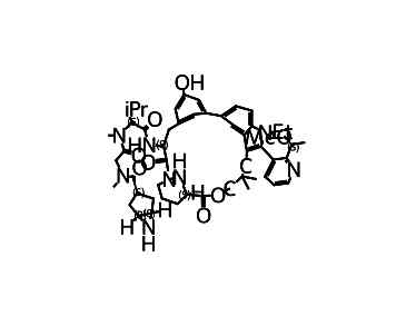 CCn1c(-c2cccnc2[C@H](C)OC)c2c3cc(ccc31)-c1cc(O)cc(c1)C[C@H](NC(=O)[C@H](C(C)C)N(C)C(=O)CN(C)C(=O)[C@H]1C[C@@H]3N[C@@H]3C1)C(=O)N1CCC[C@H](N1)C(=O)OCC(C)(C)C2